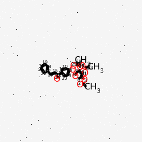 CC(=O)OC1COC(Oc2ccc(C(=O)C=Cc3ccccc3)cc2)C(OC(C)=O)C1OC(C)=O